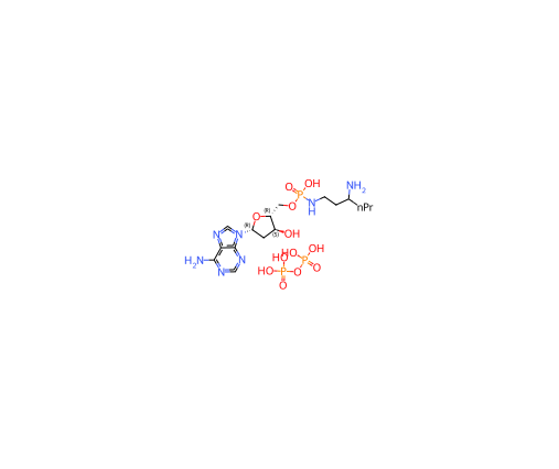 CCCC(N)CCNP(=O)(O)OC[C@H]1O[C@@H](n2cnc3c(N)ncnc32)C[C@@H]1O.O=P(O)(O)OP(=O)(O)O